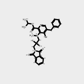 CC(C)OC(=O)c1ncc(Cc2ccccc2)c(Br)c1N(C)CC(F)(F)CN1C(=O)c2ccccc2C1=O